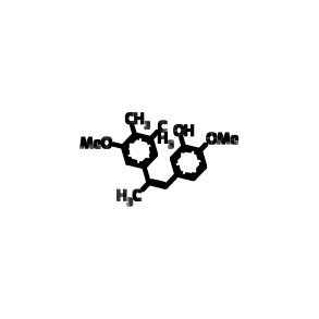 COc1ccc(/C=C(/C)c2cc(C)c(C)c(OC)c2)cc1O